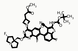 COC(=O)CC1CN(c2nc(OC[C@@]34CCCN3C[C@H](F)C4)nc3c(F)c(-c4ccc(F)c5sc(NC(=O)OC(C)(C)C)c(C#N)c45)c(Cl)cc23)C1